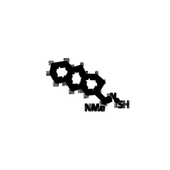 CN/C(=N\S)c1ccc2cc3ccccc3cc2c1